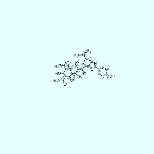 CN(C)c1cc2nc(-c3ccc(C(C)(C)C)cc3)oc2c2c1C[C@H]1C[C@H]3[C@H](N(C)C)C(O)=C(C(N)=O)C(=O)[C@@]3(O)C(O)=C1C2=O